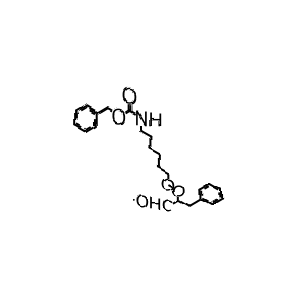 O=[C]C(Cc1ccccc1)OOCCCCCCNC(=O)OCc1ccccc1